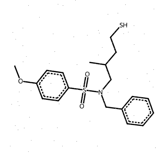 COc1ccc(S(=O)(=O)N(Cc2ccccc2)CC(C)CCS)cc1